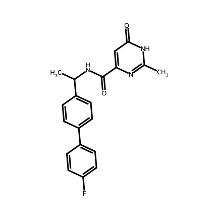 Cc1nc(C(=O)NC(C)c2ccc(-c3ccc(F)cc3)cc2)cc(=O)[nH]1